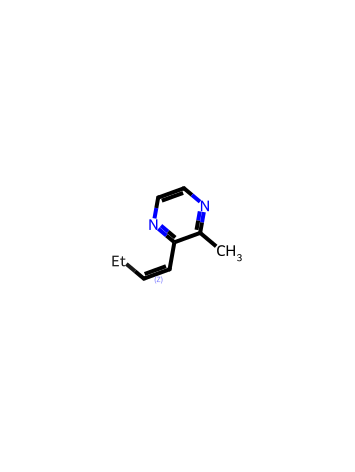 CC/C=C\c1nccnc1C